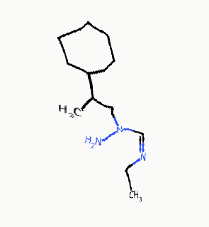 CC/N=C\N(N)CC(C)C1CCCCC1